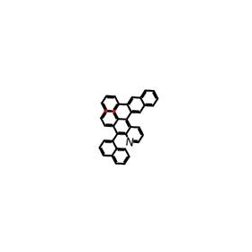 c1ccc(-c2cc3ccccc3cc2-c2c3ccccc3c(-c3cccc4ccccc34)c3ncccc23)cc1